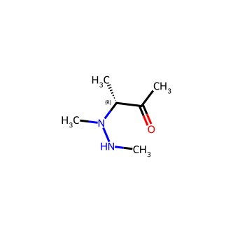 CNN(C)[C@H](C)C(C)=O